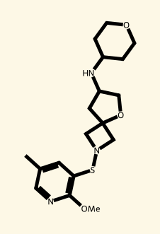 COc1ncc(C)cc1SN1CC2(CC(NC3CCOCC3)CO2)C1